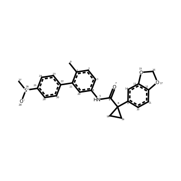 Cc1ccc(NC(=O)C2(c3ccc4c(c3)OCO4)CC2)cc1-c1ccc([S+](C)[O-])cc1